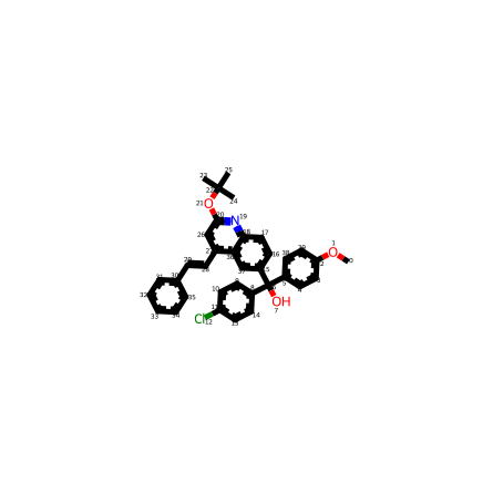 COc1ccc(C(O)(c2ccc(Cl)cc2)c2ccc3nc(OC(C)(C)C)cc(/C=C/c4ccccc4)c3c2)cc1